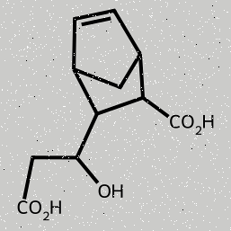 O=C(O)CC(O)C1C2C=CC(C2)C1C(=O)O